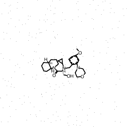 COc1ccc(CN(C2CC2)[C@H](CO)C(=O)N2CCC[C@H]3CCCC[C@@H]32)c(N2CCOCC2)c1